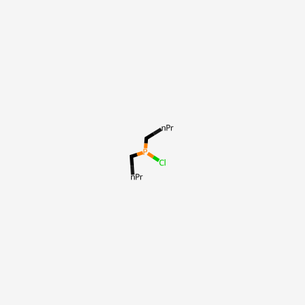 CCCCP(Cl)CCCC